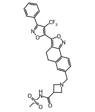 CS(=O)(=O)NC(=O)C1CN(Cc2ccc3c(c2)CCc2c-3noc2-c2onc(-c3ccccc3)c2C(F)(F)F)C1